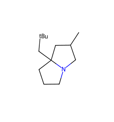 CC1CN2CCCC2(CC(C)(C)C)C1